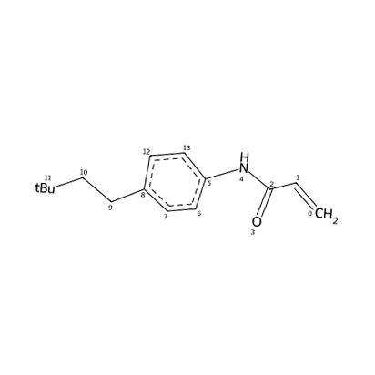 C=CC(=O)Nc1ccc(CCC(C)(C)C)cc1